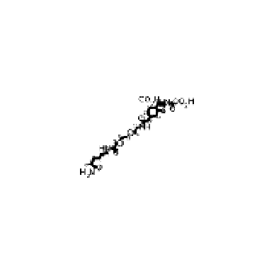 C[C@@H](CCCCNC(=O)COCCOCCNC(=O)CC1CCc2c(sc(NC(=O)C(=O)O)c2C(=O)O)C1)C(N)=O